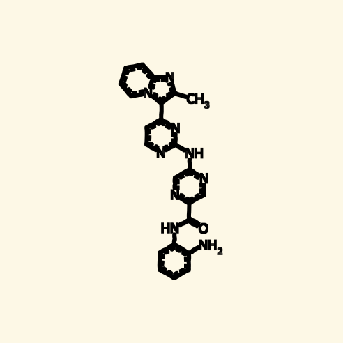 Cc1nc2ccccn2c1-c1ccnc(Nc2cnc(C(=O)Nc3ccccc3N)cn2)n1